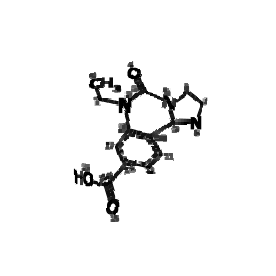 CCN1C(=O)N2CCN=C2c2ccc(C(=O)O)cc21